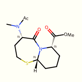 COC(=O)[C@@H]1CCC[C@@H]2SCC[C@H](N(C)C(C)=O)C(=O)N21